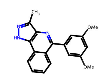 COc1cc(OC)cc(-c2nc3c(C)n[nH]c3c3ccccc23)c1